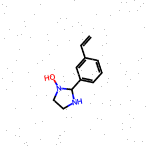 C=Cc1cccc(C2NCCN2O)c1